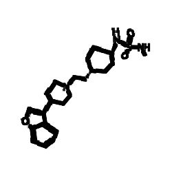 CNS(=O)(=O)N[C@H]1CC[C@H](CCN2CCC(c3coc4ccccc34)CC2)CC1